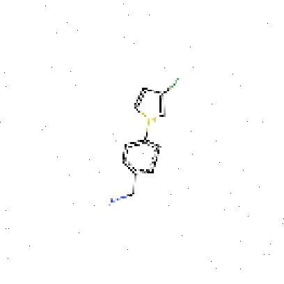 NCc1ccc([SH]2C=CC(Cl)=C2)cc1